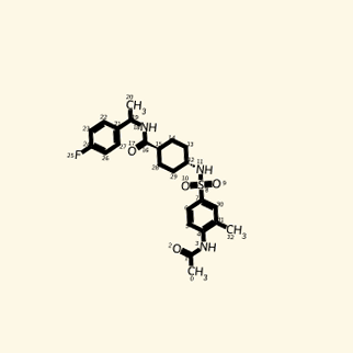 CC(=O)Nc1ccc(S(=O)(=O)N[C@H]2CC[C@H](C(=O)NC(C)c3ccc(F)cc3)CC2)cc1C